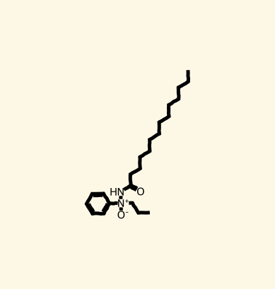 CCCCCCCCCCCCCC(=O)N[N+]([O-])(CCC)c1ccccc1